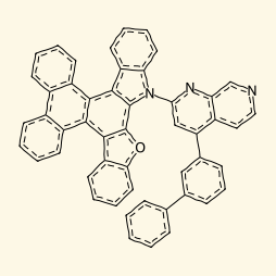 c1ccc(-c2cccc(-c3cc(-n4c5ccccc5c5c6c7ccccc7c7ccccc7c6c6c7ccccc7oc6c54)nc4cnccc34)c2)cc1